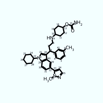 Cc1cccc(C(CCNC2CCC(OC(N)=O)CC2)c2cn(C3CCCCC3)c3ccc(-c4ccnn4C)cc23)c1